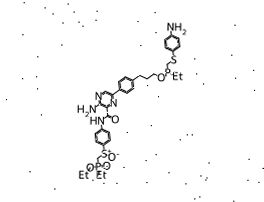 CCOP(=O)(CC)C[S+]([O-])c1ccc(NC(=O)c2nc(-c3ccc(CCCOP(CC)CSc4ccc(N)cc4)cc3)cnc2N)cc1